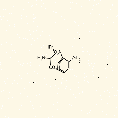 CC(C)CC(N)C(=O)O.Nc1ccccc1[N+](=O)[O-]